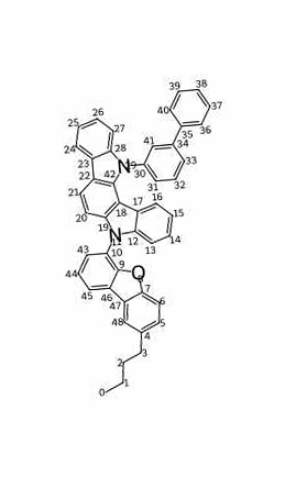 CCCCc1ccc2oc3c(-n4c5ccccc5c5c4ccc4c6ccccc6n(-c6cccc(-c7ccccc7)c6)c45)cccc3c2c1